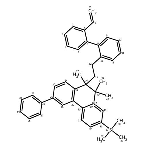 C=Cc1ccccc1-c1ccccc1CCC1(C)c2ccc(-c3ccccc3)cc2-c2ccc([Si](C)(C)C)c[n+]2C1(C)C